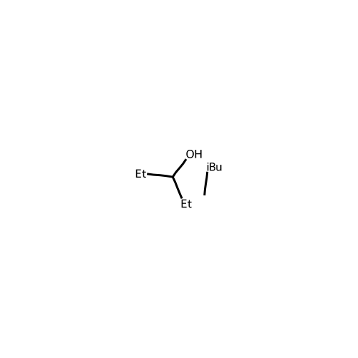 CCC(C)C.CCC(O)CC